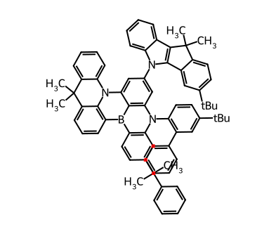 CC(C)(C)c1ccc(N2c3cc(C(C)(C)c4ccccc4)ccc3B3c4cccc5c4N(c4ccccc4C5(C)C)c4cc(-n5c6c(c7ccccc75)C(C)(C)c5ccc(C(C)(C)C)cc5-6)cc2c43)c(-c2ccccc2)c1